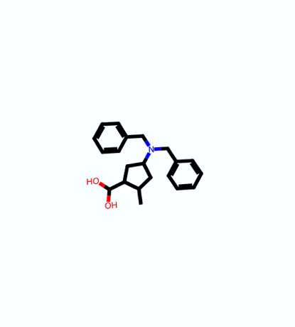 CC1CC(N(Cc2ccccc2)Cc2ccccc2)CC1C(O)O